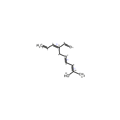 C=C/C=C(/C=O)C/N=C/C=C(/C)O